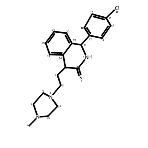 CN1CCN(CCC2C(=S)NC(c3ccc(Cl)cc3)c3ccccc32)CC1